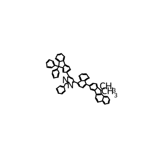 CC1(C)c2ccc(-c3ccc(-c4cc(-c5ccc6c(c5)C(c5ccccc5)(c5ccccc5)c5ccccc5-6)nc(-c5ccccc5)n4)c4ccccc34)cc2-c2ccc3ccccc3c21